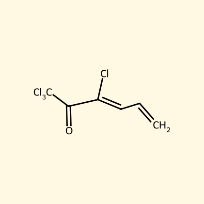 C=C/C=C(\Cl)C(=O)C(Cl)(Cl)Cl